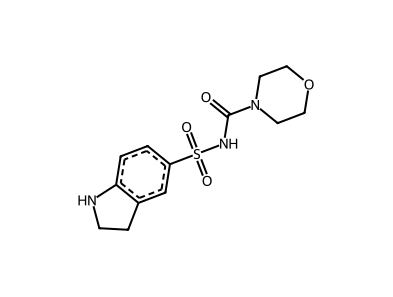 O=C(NS(=O)(=O)c1ccc2c(c1)CCN2)N1CCOCC1